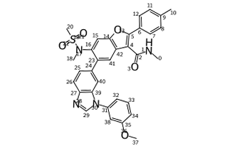 CNC(=O)c1c(-c2ccc(C)cc2)oc2cc(N(C)S(C)(=O)=O)c(-c3ccc4ncn(-c5cccc(OC)c5)c4c3)cc12